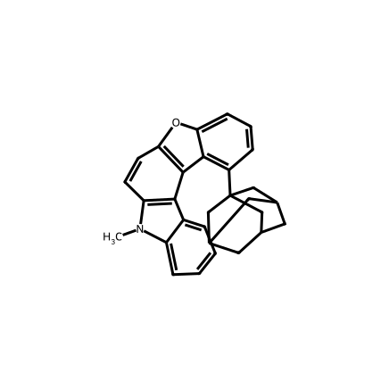 Cn1c2ccccc2c2c3c(ccc21)oc1cccc(C24CC5CC(CC(C5)C2)C4)c13